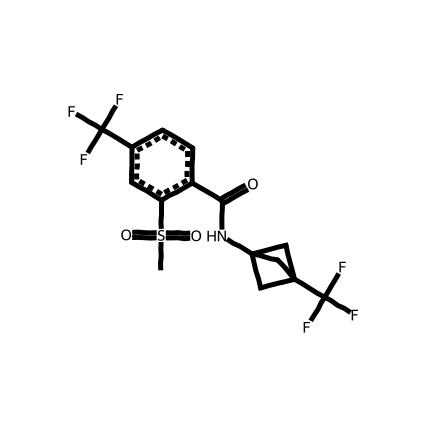 CS(=O)(=O)c1cc(C(F)(F)F)ccc1C(=O)NC12CC(C(F)(F)F)(C1)C2